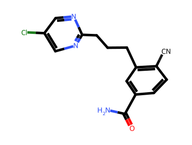 N#Cc1ccc(C(N)=O)cc1CCCc1ncc(Cl)cn1